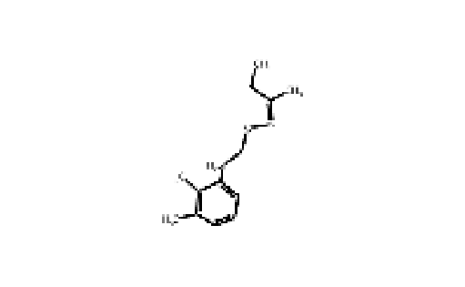 CCC(C)=NOC[SiH2]c1cccc(C)c1C